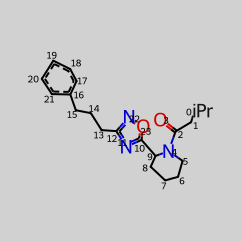 CC(C)CC(=O)N1CCCCC1c1nc(CCCc2ccccc2)no1